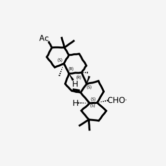 CC(=O)C1CC[C@@]2(C)C(CC[C@]3(C)[C@@H]2CC=C2[C@@H]4CC(C)(C)CC[C@]4([C]=O)CC[C@]23C)C1(C)C